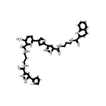 Cc1ccc(-c2csc(-c3cc(C(=O)NCCCNC(=O)c4ccc5ccccc5n4)n[nH]3)c2)nc1C(=O)NCCCNC(=O)c1cc(-c2cccs2)[nH]n1